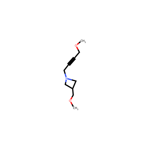 COCC#CCN1CC(COC)C1